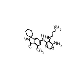 Cc1cc(Nc2ncnc(N)c2NCCCN)cc2c1C(=O)NC21CCCCC1